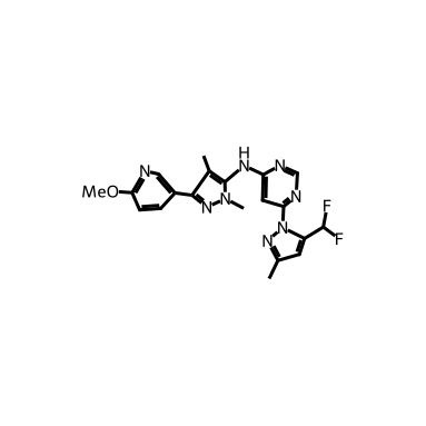 COc1ccc(-c2nn(C)c(Nc3cc(-n4nc(C)cc4C(F)F)ncn3)c2C)cn1